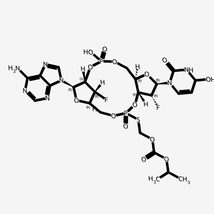 CC(C)OC(=O)OCSP1(=O)OC[C@H]2O[C@@H](n3cnc4c(N)ncnc43)[C@H](OP(=O)(O)OC[C@H]3O[C@@H](N4C=CC(O)NC4=O)[C@H](F)[C@@H]3O1)[C@@H]2F